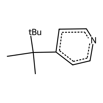 CC(C)(C)C(C)(C)c1ccncc1